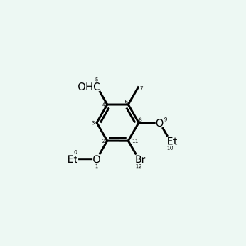 CCOc1cc(C=O)c(C)c(OCC)c1Br